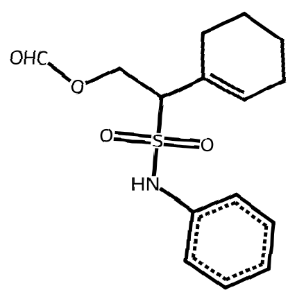 O=COCC(C1=CCCCC1)S(=O)(=O)Nc1ccccc1